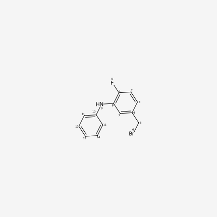 Fc1ccc(CBr)cc1Nc1ccccc1